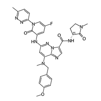 COc1ccc(CN(C)c2cc(Nc3cc(F)cn(-c4ccc(C)nn4)c3=O)nn3c(C(=O)N[C@@H]4CCN(C)C4=O)cnc23)cc1